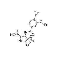 CC(C)Oc1cc(C(=O)NC(C(=N)NO)C2(C)COC2)ccc1C1CC1